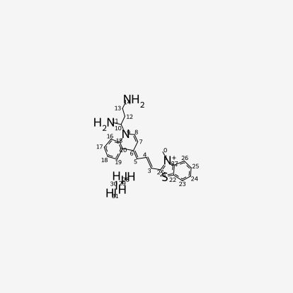 C[n+]1c(C=CC=C2C=CN(C(N)CCN)c3ccccc32)sc2ccccc21.I.I.I.I